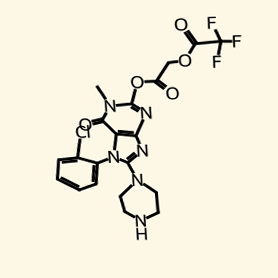 Cn1c(OC(=O)COC(=O)C(F)(F)F)nc2nc(N3CCNCC3)n(-c3ccccc3Cl)c2c1=O